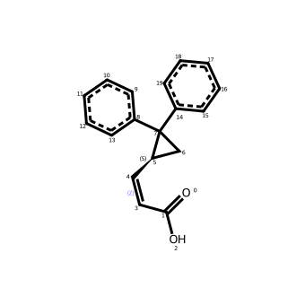 O=C(O)/C=C\[C@@H]1CC1(c1ccccc1)c1ccccc1